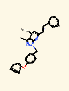 Cc1nn(Cc2ccc(Oc3ccccc3)cc2)c2nc(/C=C/c3ccccc3)cc(C(=O)O)c12